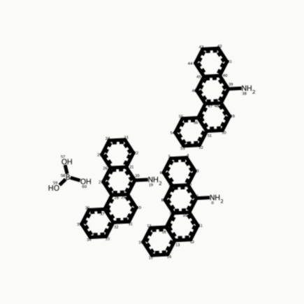 Nc1c2ccccc2cc2c1ccc1ccccc12.Nc1c2ccccc2cc2c1ccc1ccccc12.Nc1c2ccccc2cc2c1ccc1ccccc12.OB(O)O